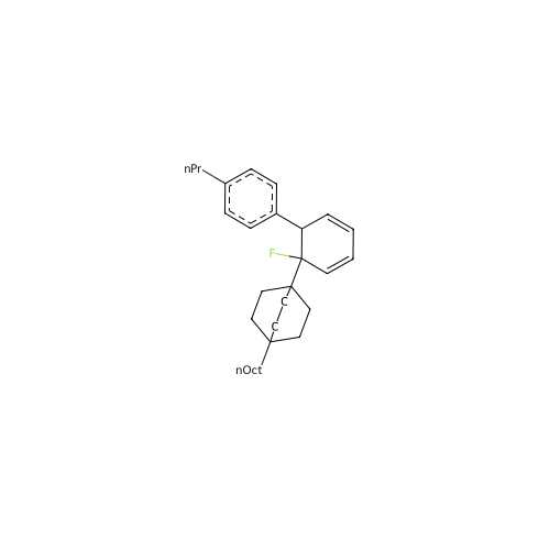 CCCCCCCCC12CCC(C3(F)C=CC=CC3c3ccc(CCC)cc3)(CC1)CC2